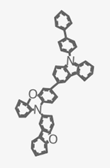 c1ccc(-c2ccc(-n3c4ccccc4c4cc(-c5ccc6c(c5)Oc5ccccc5N6c5ccc6oc7ccccc7c6c5)ccc43)cc2)cc1